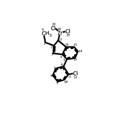 CCC1=Cc2c(-c3ccccc3Cl)cccc2[CH]1[Zr]([Cl])[Cl]